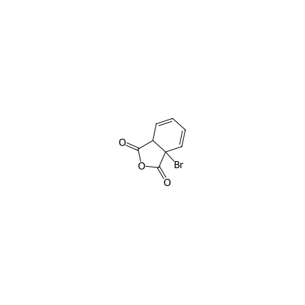 O=C1OC(=O)C2(Br)C=CC=CC12